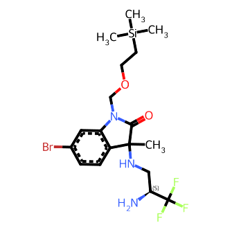 CC1(NC[C@H](N)C(F)(F)F)C(=O)N(COCC[Si](C)(C)C)c2cc(Br)ccc21